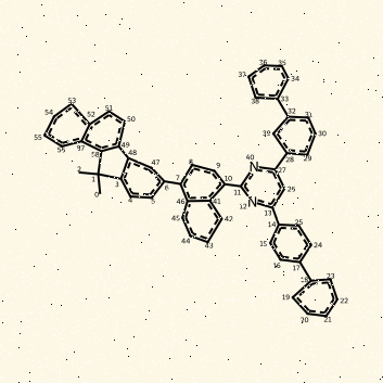 CC1(C)c2ccc(-c3ccc(-c4nc(-c5ccc(-c6ccccc6)cc5)cc(-c5cccc(-c6ccccc6)c5)n4)c4ccccc34)cc2-c2ccc3ccccc3c21